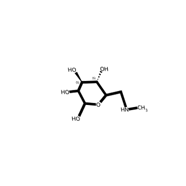 CNCC1OC(O)C(O)[C@@H](O)[C@@H]1O